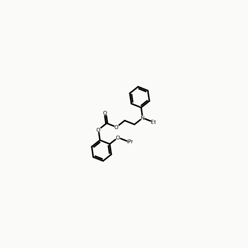 CCN(CCOC(=O)Oc1ccccc1OC(C)C)c1ccccc1